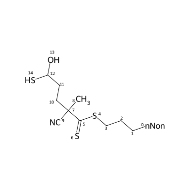 CCCCCCCCCCCCSC(=S)C(C)(C#N)CCC(O)S